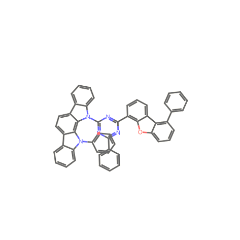 c1ccc(-c2nc(-c3cccc4c3oc3cccc(-c5ccccc5)c34)nc(-n3c4ccccc4c4ccc5c6ccccc6n(-c6ccccc6)c5c43)n2)cc1